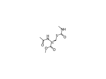 CNC(=O)SC[C@H](NC(C)=O)C(=O)OC